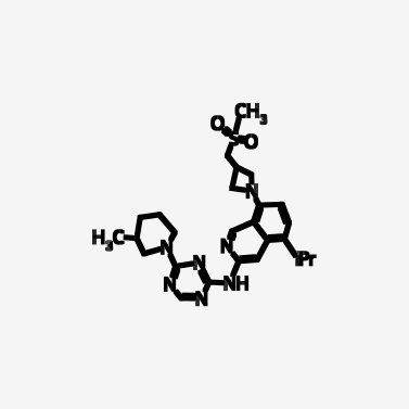 CC1CCCN(c2ncnc(Nc3cc4c(C(C)C)ccc(N5CC(CS(C)(=O)=O)C5)c4cn3)n2)C1